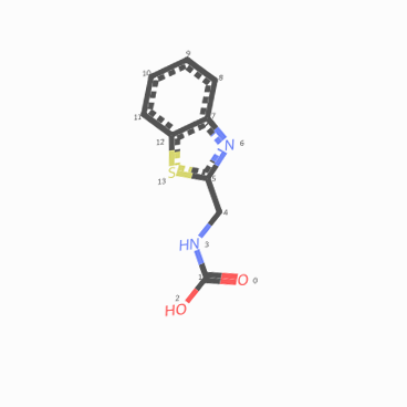 O=C(O)NCc1nc2ccccc2s1